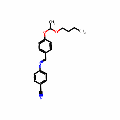 CCCCOC(C)Oc1ccc(C=Nc2ccc(C#N)cc2)cc1